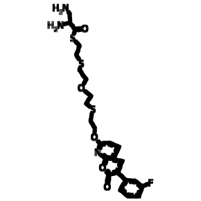 NCC(N)C(=O)SCCSCCOCCSCCOc1ccc2cc(-c3cccc(F)c3)c(=O)oc2n1